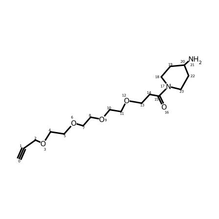 C#CCOCCOCCOCCOCCC(=O)N1CCC(N)CC1